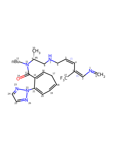 C=N/C=C(\C=C/CNC[C@@H](C)N(CCCC)C(=O)C1=CCC=CC=C1n1nccn1)C(F)(F)F